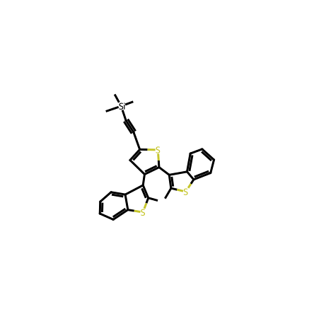 Cc1sc2ccccc2c1-c1cc(C#C[Si](C)(C)C)sc1-c1c(C)sc2ccccc12